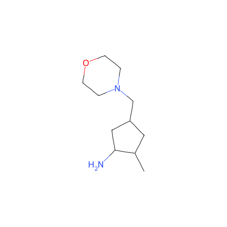 CC1CC(CN2CCOCC2)CC1N